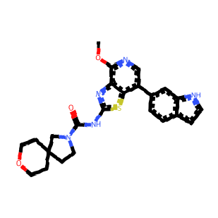 COc1ncc(-c2ccc3cc[nH]c3c2)c2sc(NC(=O)N3CCC4(CCOCC4)C3)nc12